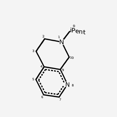 CCCC(C)N1CCc2cccnc2C1